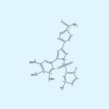 COc1cc(-c2cc(-c3ccc(C(N)=O)cc3)cn2S(=O)(=O)c2cc(O)ccc2C)cc(OC)c1OC